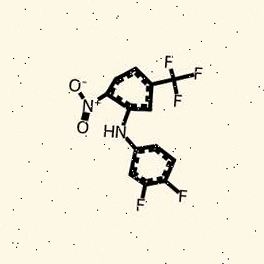 O=[N+]([O-])c1ccc(C(F)(F)F)cc1Nc1ccc(F)c(F)c1